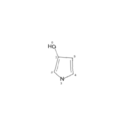 OC1=C[N]C=C1